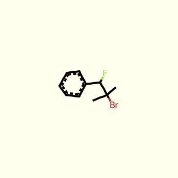 CC(C)(Br)C(F)c1ccccc1